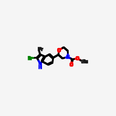 CC(C)c1c(Br)[nH]c2ccc(C3CN(C(=O)OC(C)(C)C)CCO3)cc12